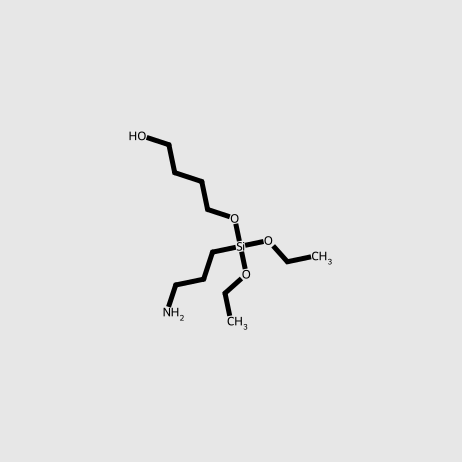 CCO[Si](CCCN)(OCC)OCCCCO